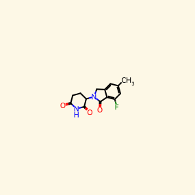 Cc1cc(F)c2c(c1)CN(C1CCC(=O)NC1=O)C2=O